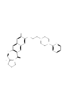 Cc1cc2cc3c(cc2cc1OCCN1CCN(c2ccccn2)CC1)C(=O)N1CCC[C@H]1C=N3